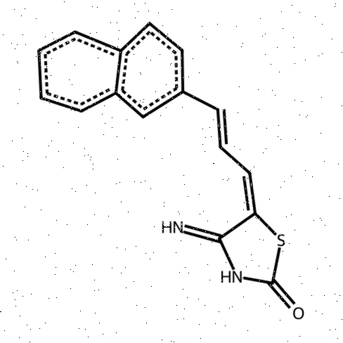 N=C1NC(=O)SC1=CC=Cc1ccc2ccccc2c1